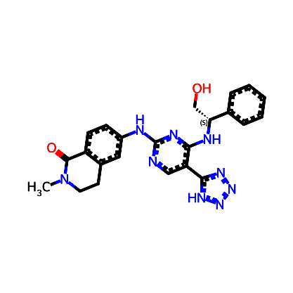 CN1CCc2cc(Nc3ncc(-c4nnn[nH]4)c(N[C@H](CO)c4ccccc4)n3)ccc2C1=O